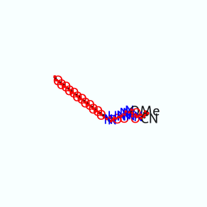 C#CCOCCOCCOCCOCCOCCOCCOCCOCCOCCOCCOCCOCCCCN1CCN(CCOCCNC(=O)c2ncn(-c3ncc(OC)c4c(C(=O)C(=O)N5CCC(=C(C#N)c6ccccc6)CC5)c[nH]c34)n2)CC1